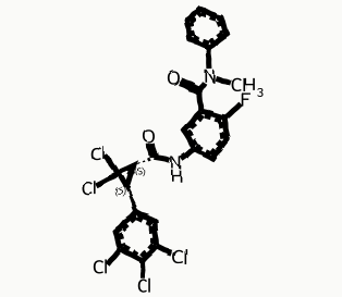 CN(C(=O)c1cc(NC(=O)[C@@H]2[C@@H](c3cc(Cl)c(Cl)c(Cl)c3)C2(Cl)Cl)ccc1F)c1ccccc1